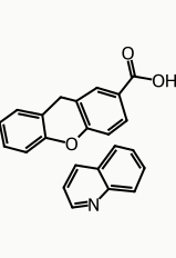 O=C(O)c1ccc2c(c1)Cc1ccccc1O2.c1ccc2ncccc2c1